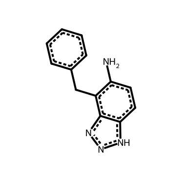 Nc1ccc2[nH]nnc2c1Cc1ccccc1